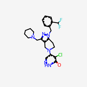 O=c1[nH]ncc(N2CCc3c(c(CN4CCCCC4)nn3Cc3ccccc3C(F)F)C2)c1Cl